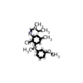 CCN(C)/C=N\c1cc(C)cc(N(C)c2cccc(OC)c2)c1Cl